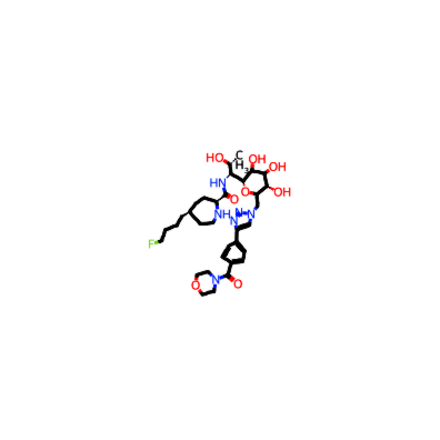 C[C@@H](O)[C@@H](NC(=O)[C@@H]1CC[C@H](CCCCF)CCN1)[C@H]1OC(Cn2cc(-c3ccc(C(=O)N4CCOCC4)cc3)nn2)[C@H](O)C(O)C1O